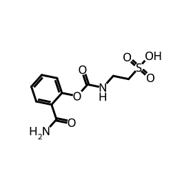 NC(=O)c1ccccc1OC(=O)NCCS(=O)(=O)O